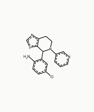 Nc1ccc(Cl)cc1C1c2scnc2CCN1c1cccnc1